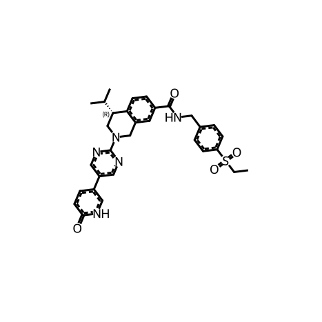 CCS(=O)(=O)c1ccc(CNC(=O)c2ccc3c(c2)CN(c2ncc(-c4ccc(=O)[nH]c4)cn2)C[C@@H]3C(C)C)cc1